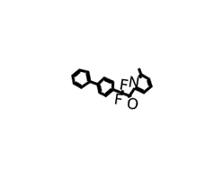 Cc1cccc(C(=O)C(F)(F)c2ccc(-c3ccccc3)cc2)n1